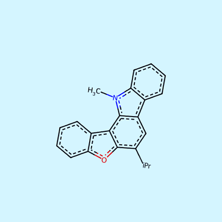 CC(C)c1cc2c3ccccc3n(C)c2c2c1oc1ccccc12